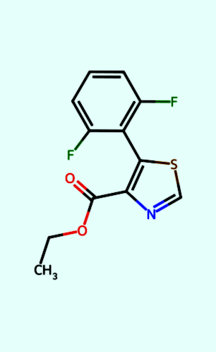 CCOC(=O)c1ncsc1-c1c(F)cccc1F